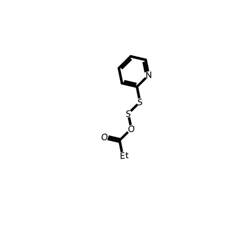 CCC(=O)OSSc1ccccn1